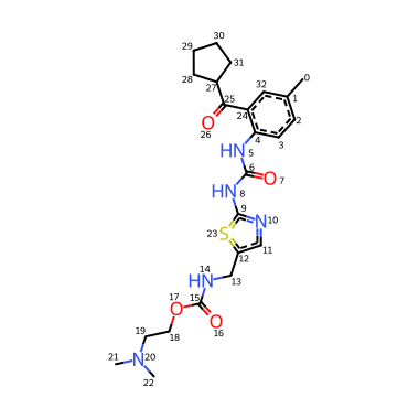 Cc1ccc(NC(=O)Nc2ncc(CNC(=O)OCCN(C)C)s2)c(C(=O)C2CCCC2)c1